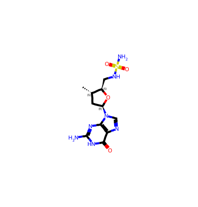 C[C@H]1C[C@H](n2cnc3c(=O)[nH]c(N)nc32)O[C@@H]1CNS(N)(=O)=O